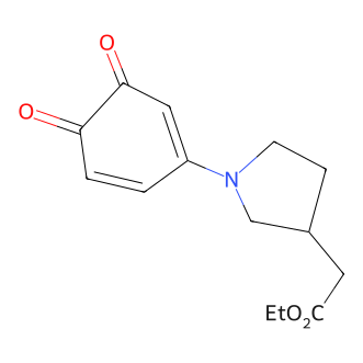 CCOC(=O)CC1CCN(C2=CC(=O)C(=O)C=C2)C1